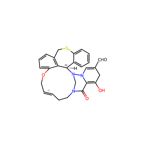 O=CC1=CN2C(=C(O)C1)C(=O)N1CC/C=C/COc3cccc4c3[C@@H](c3ccccc3SC4)N2C1